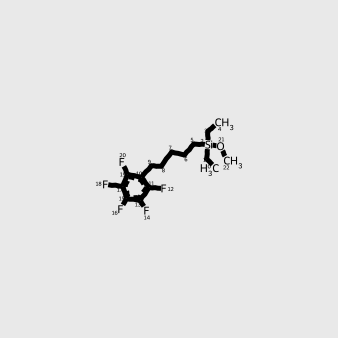 CC[Si](CC)(CCCCCc1c(F)c(F)c(F)c(F)c1F)OC